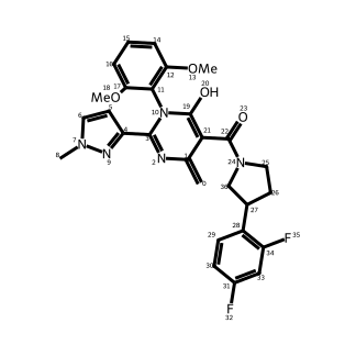 C=C1N=C(c2ccn(C)n2)N(c2c(OC)cccc2OC)C(O)=C1C(=O)N1CCC(c2ccc(F)cc2F)C1